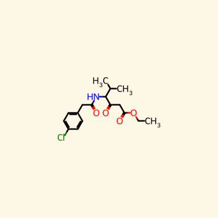 CCOC(=O)CC(=O)C(NC(=O)Cc1ccc(Cl)cc1)C(C)C